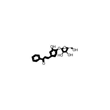 O=C(/C=C/c1ccc(O[C@@H]2O[C@H](CO)[C@@H](O)[C@H]2O)c(O)c1)c1ccccc1